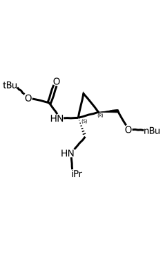 CCCCOC[C@@H]1C[C@]1(CNC(C)C)NC(=O)OC(C)(C)C